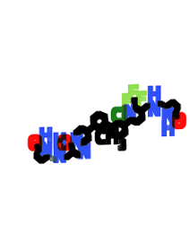 Cc1c(-c2ccn3c(=O)c(CNC[C@@H]4CCC(=O)N4)cnc3c2)cccc1-c1cccc(-c2ccc(CNC[C@H]3CCC(=O)N3)c(C(F)(F)F)n2)c1Cl